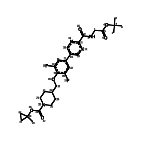 CC(C)(C)OC(=O)CNC(=O)c1ncc(-c2cc(F)c(OCC3CCN(C(=O)OC4(C)CC4)CC3)c(F)c2)cn1